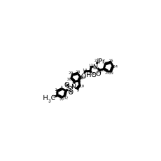 Cc1ccc(S(=O)(=O)n2ccc3c(OCC(O)CN(C(=O)c4ccccc4)C(C)C)cccc32)cc1